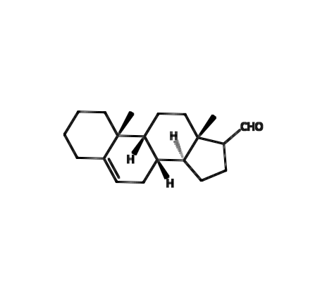 C[C@]12CCCCC1=CC[C@@H]1[C@H]2CC[C@]2(C)C(C=O)CC[C@@H]12